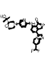 CC(C)(O)[C@@H]1CN(c2ccc(Nc3ccc(-c4cnc5cc(C(F)F)ccn45)c4c3C(=O)NC4)nc2)CCO1